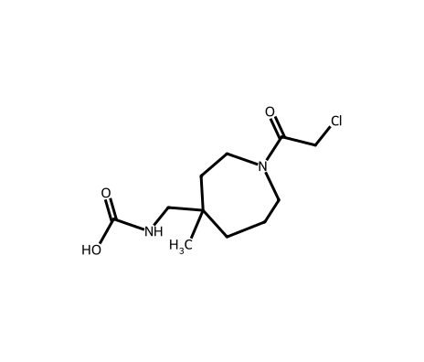 CC1(CNC(=O)O)CCCN(C(=O)CCl)CC1